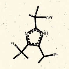 CCCC(C)(C)c1nc(C(C)(C)CC)c(C(C)C(C)C)[nH]1